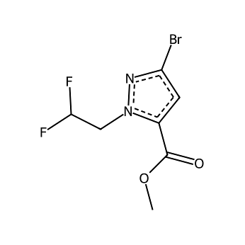 COC(=O)c1cc(Br)nn1CC(F)F